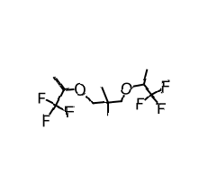 CC(OCC(C)(C)COC(C)C(F)(F)F)C(F)(F)F